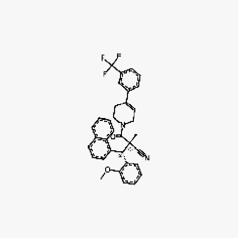 COc1ccccc1[C@H](c1cccc2ccccc12)[C@@](C)(C#N)C(=O)N1CC=C(c2cccc(C(F)(F)F)c2)CC1